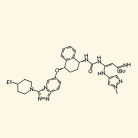 CCC1CCN(c2nnc3ccc(O[C@@H]4CC[C@H](NC(=O)N/C(=C/C(=N)C(C)(C)C)Nc5cnn(C)c5)c5ccccc54)cn23)CC1